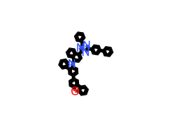 c1ccc(-c2ccc(-c3nc(-c4ccccc4)nc(-c4ccc(-n5c6ccccc6c6cc(-c7ccc8oc9ccccc9c8c7)ccc65)c5ccccc45)n3)cc2)cc1